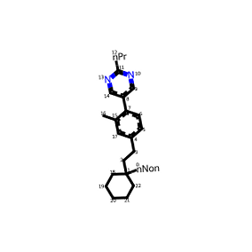 CCCCCCCCCC1(CCc2ccc(-c3cnc(CCC)nc3)c(C)c2)CCCCC1